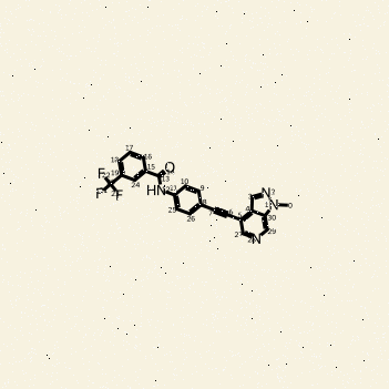 Cn1ncc2c(C#Cc3ccc(NC(=O)c4cccc(C(F)(F)F)c4)cc3)cncc21